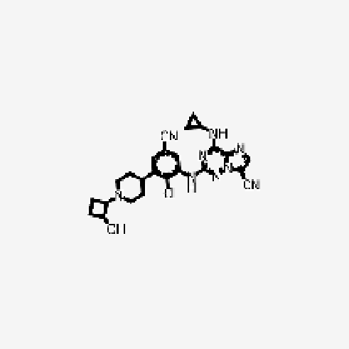 N#Cc1cc(Nc2nc(NC3CC3)c3ncc(C#N)n3n2)c(Cl)c(C2CCN(C3CCC3O)CC2)c1